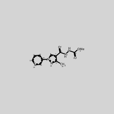 COC(=O)NNC(=O)c1cn(-c2cccnc2)nc1C